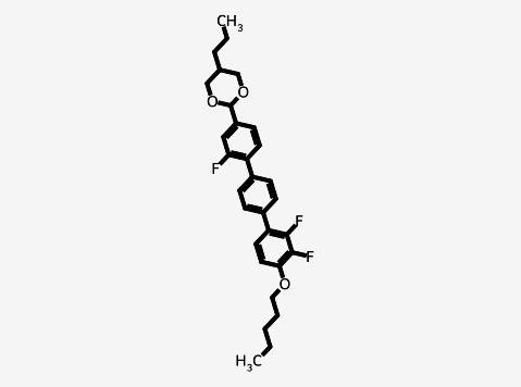 CCCCCOc1ccc(-c2ccc(-c3ccc(C4OCC(CCC)CO4)cc3F)cc2)c(F)c1F